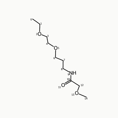 CCOCCOCCCNC(=O)COC